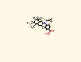 CC1=CC2=C(C)C(C)CC(C)(C)C2=CC1N(CC1CC1)c1ccc(C(=O)O)cc1